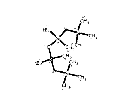 CC(C)(C)[Si](C)(C[Si](C)(C)C)O[Si](C)(C[Si](C)(C)C)C(C)(C)C